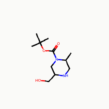 CC1CNC(CO)CN1C(=O)OC(C)(C)C